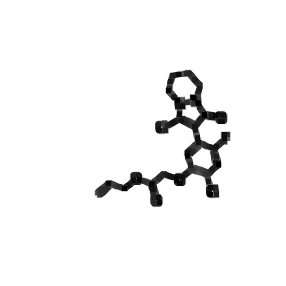 C=CCOC(=O)COc1cc(-c2c(Cl)n3n(c2=O)CCCC3)c(F)cc1Cl